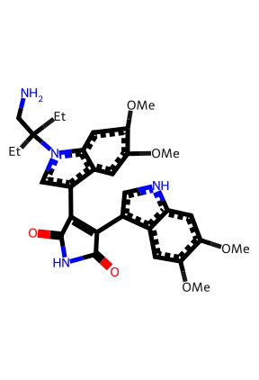 CCC(CC)(CN)n1cc(C2=C(c3c[nH]c4cc(OC)c(OC)cc34)C(=O)NC2=O)c2cc(OC)c(OC)cc21